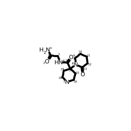 NC(=O)CNC(=O)C1(N2CCCCC2=O)CC[N]CC1